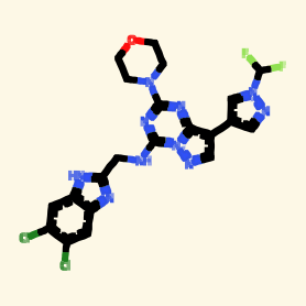 FC(F)n1cc(-c2cnn3c(NCc4nc5cc(Cl)c(Cl)cc5[nH]4)nc(N4CCOCC4)nc23)cn1